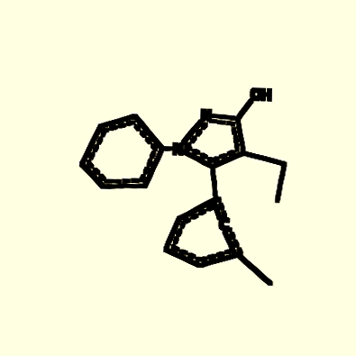 CCc1c(O)nn(-c2ccccc2)c1-c1cccc(C)c1